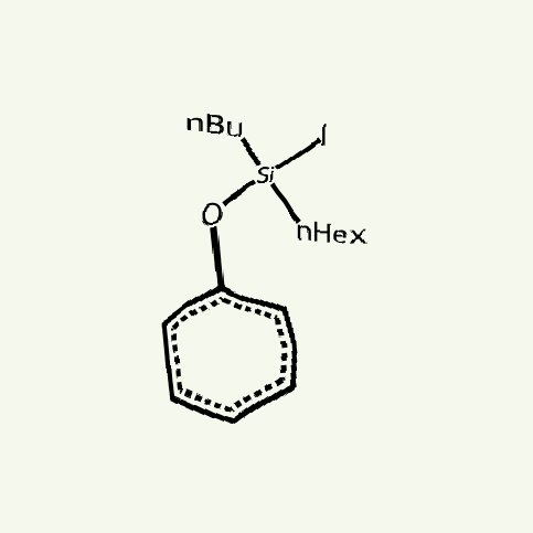 CCCCCC[Si](I)(CCCC)Oc1ccccc1